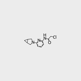 O=C(CCl)Nc1cccc(N2CC3CC3C2)n1